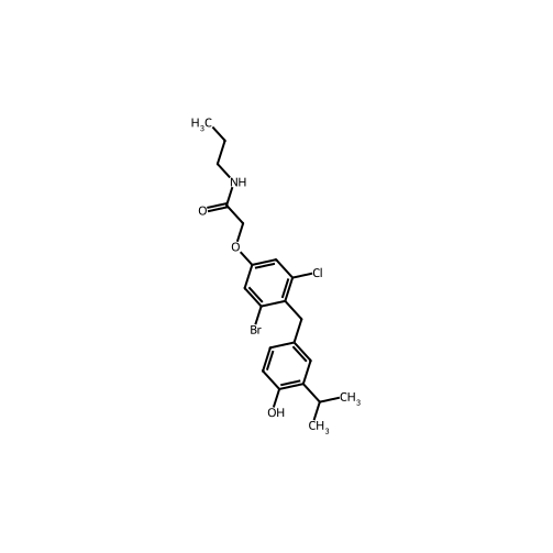 CCCNC(=O)COc1cc(Cl)c(Cc2ccc(O)c(C(C)C)c2)c(Br)c1